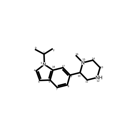 CC(C)n1ccc2ccc(C3CNCCN3C)cc21